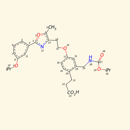 Cc1oc(-c2cccc(OC(C)C)c2)nc1CCOc1ccc(CCC(=O)O)c(CNC(=O)OC(C)C)c1